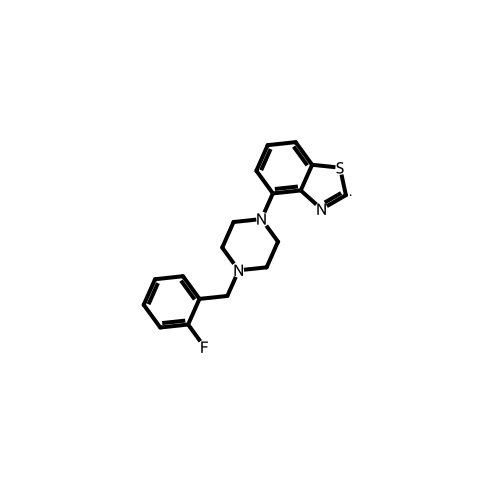 Fc1ccccc1CN1CCN(c2cccc3s[c]nc23)CC1